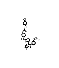 COc1cccc(-c2nc3sccn3c2-c2ccnc(NC3CCN(CC(=O)COc4ccc(Cl)cc4)CC3)n2)c1